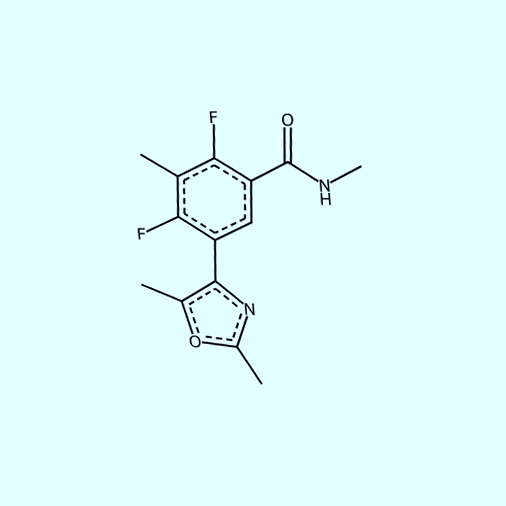 CNC(=O)c1cc(-c2nc(C)oc2C)c(F)c(C)c1F